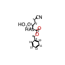 N#CCC[C@H]([AsH]C(=O)OCc1ccccc1)C(=O)O